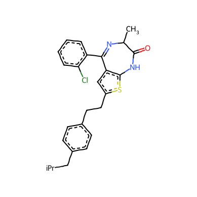 CC(C)Cc1ccc(CCc2cc3c(s2)NC(=O)C(C)N=C3c2ccccc2Cl)cc1